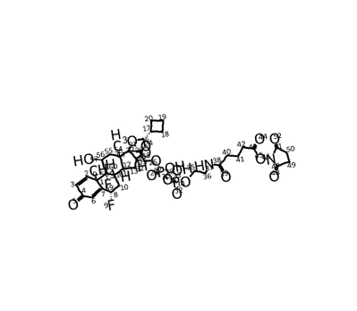 C[C@]12C=CC(=O)C=C1[C@@H](F)C[C@H]1[C@@H]3C[C@H]4O[C@@H](C5CCC5)O[C@@]4(C(=O)COP(=O)(O)OP(=O)(O)OCCNC(=O)CCCC(=O)ON4C(=O)CCC4=O)[C@@]3(C)C[C@H](O)[C@@]12F